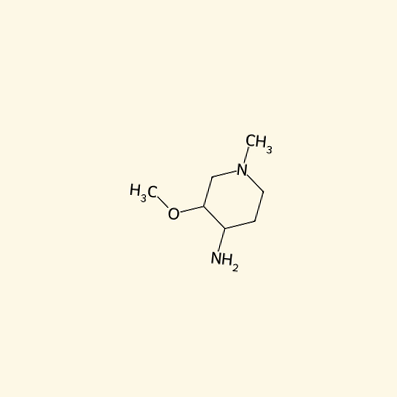 COC1CN(C)CCC1N